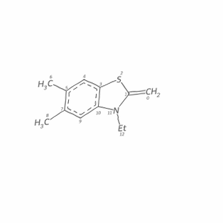 C=C1Sc2cc(C)c(C)cc2N1CC